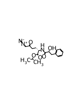 CC(C)OC(=O)[C@H](CCC(=O)C=[N+]=[N-])NC(=O)[C@@H](O)Cc1ccccc1